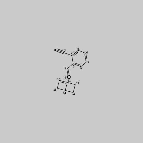 C#Cc1ccccc1C=O.C1=C2CCC2C1